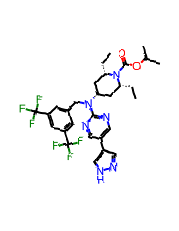 CC[C@@H]1C[C@H](N(Cc2cc(C(F)(F)F)cc(C(F)(F)F)c2)c2ncc(-c3cn[nH]c3)cn2)C[C@H](CC)N1C(=O)OC(C)C